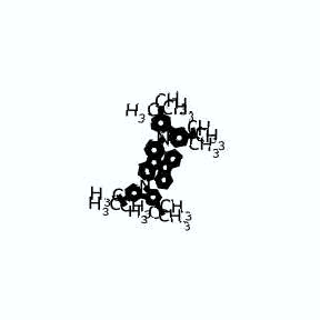 CC(C)(C)c1ccc2c(c1)c1cc(C(C)(C)C)ccc1n2-c1ccc2c(c1)C1(c3ccccc3-c3ccccc31)c1cc(-n3c4ccc(C(C)(C)C)cc4c4cc(C(C)(C)C)ccc43)ccc1-2